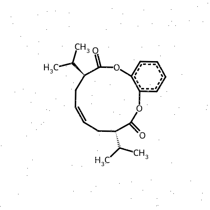 CC(C)[C@@H]1CC=CC[C@@H](C(C)C)C(=O)Oc2ccccc2OC1=O